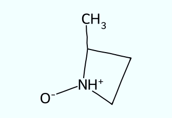 CC1CC[NH+]1[O-]